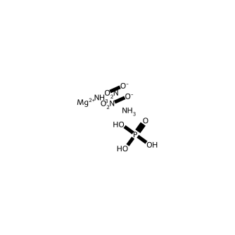 N.N.O=P(O)(O)O.O=[N+]([O-])[O-].O=[N+]([O-])[O-].[Mg+2]